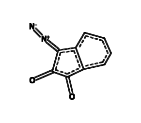 [N-]=[N+]=c1c(=O)c(=O)c2ccccc12